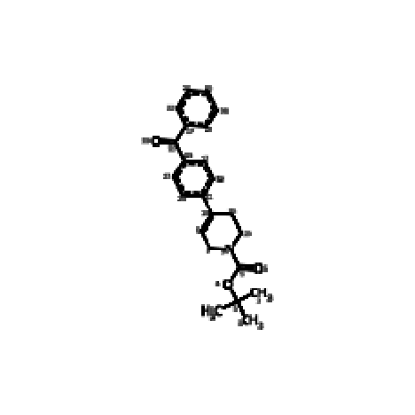 CC(C)(C)OC(=O)N1CC=C(c2ccc(C(=O)c3ccccc3)cc2)CC1